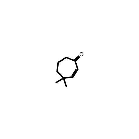 CC1(C)C=CC(=O)CCC1